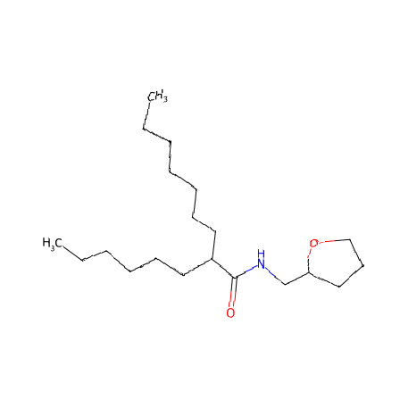 CCCCCCCC(CCCCCC)C(=O)NCC1CCCO1